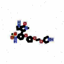 Cn1cc(-c2cc(NS(C)(=O)=O)ccc2Oc2cccc(OCCOC3CCNCC3)c2)c2cc[nH]c2c1=O